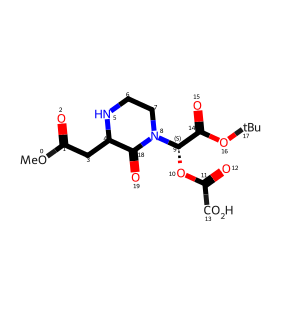 COC(=O)CC1NCCN([C@@H](OC(=O)C(=O)O)C(=O)OC(C)(C)C)C1=O